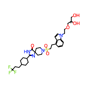 O=C1NC(C2CCC(CCC(F)(F)F)CC2)=NC12CCN(S(=O)(=O)CCc1cccc3c1ccn3CCOC[C@H](O)CO)CC2